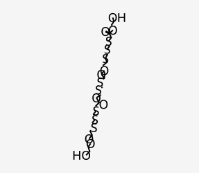 O=C(CSCSCSCCOOCSCSCOC(=O)CSCSCSCCOOCCO)OCCO